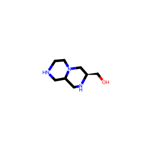 OC[C@@H]1CN2CCNCC2CN1